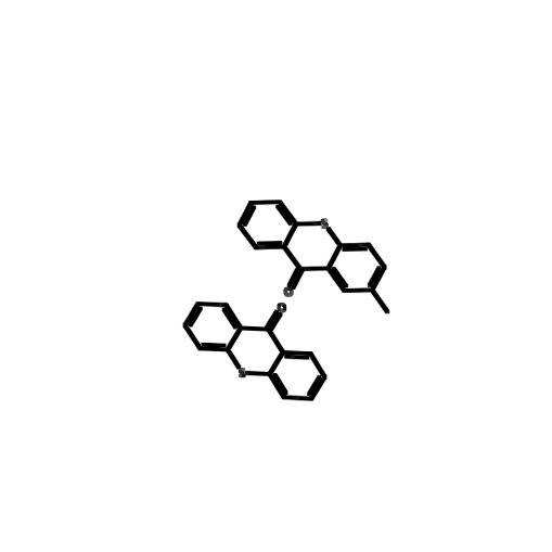 Cc1ccc2sc3ccccc3c(=O)c2c1.O=c1c2ccccc2sc2ccccc12